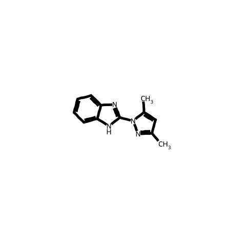 Cc1cc(C)n(-c2nc3ccccc3[nH]2)n1